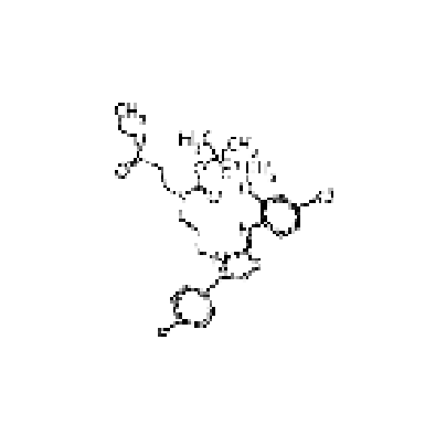 CCOC(=O)CCN(CCCn1c(-c2ccc(F)cc2)csc1=Nc1ccc(Cl)cc1OC)C(=O)OC(C)(C)C